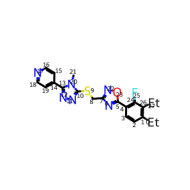 CCc1ccc(-c2nc(CSc3nnc(-c4ccncc4)n3C)no2)c(F)c1CC